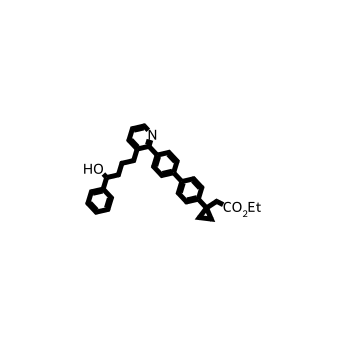 CCOC(=O)CC1(c2ccc(-c3ccc(-c4ncccc4CCCC(O)c4ccccc4)cc3)cc2)CC1